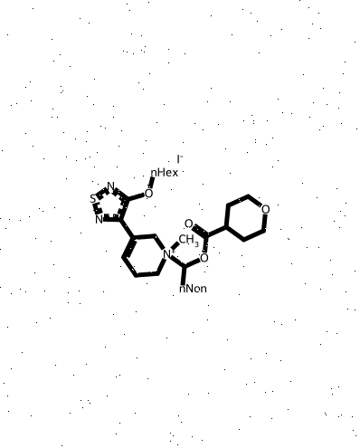 CCCCCCCCCC(OC(=O)C1CCOCC1)[N+]1(C)CCC=C(c2nsnc2OCCCCCC)C1.[I-]